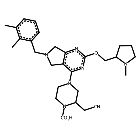 Cc1cccc(CN2Cc3nc(OCC4CCCN4C)nc(N4CCN(C(=O)O)C(CC#N)C4)c3C2)c1C